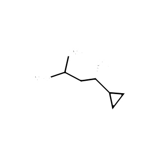 COC(C[C@H](C(=O)O)C1CC1)OC